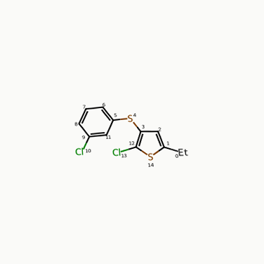 CCc1cc(Sc2cccc(Cl)c2)c(Cl)s1